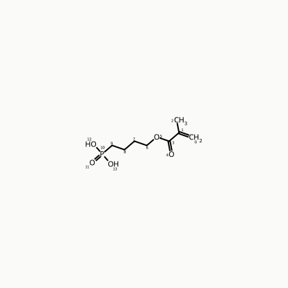 C=C(C)C(=O)OCCCCP(=O)(O)O